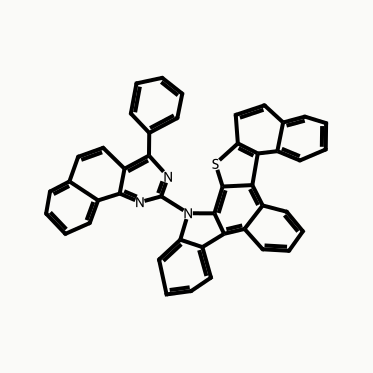 c1ccc(-c2nc(-n3c4ccccc4c4c5ccccc5c5c(sc6ccc7ccccc7c65)c43)nc3c2ccc2ccccc23)cc1